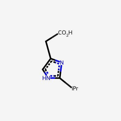 CC(C)c1nc(CC(=O)O)c[nH]1